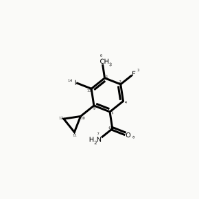 Cc1c(F)cc(C(N)=O)c(C2CC2)c1I